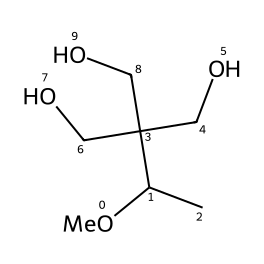 COC(C)C(CO)(CO)CO